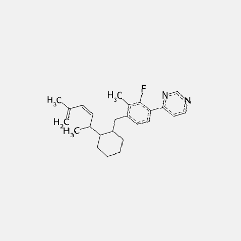 C=C(C)/C=C\C(C)C1CCCCC1Cc1ccc(-c2ccncn2)c(F)c1C